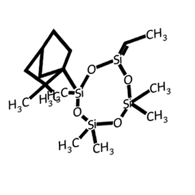 CC=[Si]1O[Si](C)(C)O[Si](C)(C)O[Si](C)(C23CCC(CC2(C)C)C3)O1